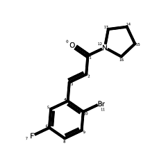 O=C(/C=C/c1cc(F)ccc1Br)N1CCCC1